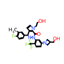 Cc1cc(-c2nn(-c3cc(N4CC(CO)C4)ccc3C(F)(F)F)c(=O)c3c2ccn3CCO)ccc1F